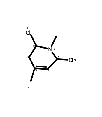 CN1C(Cl)C=C(I)CC1Cl